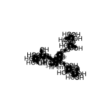 CCCCC[C@@H](C)[C@H]1CC[C@H]2[C@@H]3[C@H](OCCO[C@@H]4OC(CO)[C@@H](O[C@H]5OC(CO)[C@@H](O)[C@H](O)C5O)[C@H](O)C4O)C[C@@H]4C[C@H](OCCO[C@@H]5OC(CO)[C@@H](O[C@H]6OC(CO)[C@@H](O)[C@H](O)C6O)[C@H](O)C5O)CC[C@]4(C)[C@H]3C[C@H](OCCO[C@@H]3OC(CO)[C@@H](O[C@H]4OC(CO)[C@@H](O)[C@H](O)C4O)[C@H](O)C3O)[C@]12C